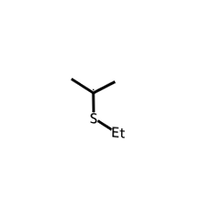 CCS[C](C)C